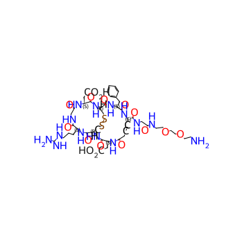 N=C(N)NCCC[C@@H]1NC(=O)[C@@H]2CSSC[C@H](NC(=O)[C@H](CC(=O)O)NC(=O)CNC1=O)C(=O)N[C@@H](Cc1ccccc1)C(=O)N[C@H](C(=O)NCC(=O)NCCOCCOCCN)CCCC(=O)N[C@@H](CC(=O)O)C(=O)N2